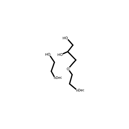 CCCCCCCCCCCCO.CCCCCCCCCCCCOCC(O)CO